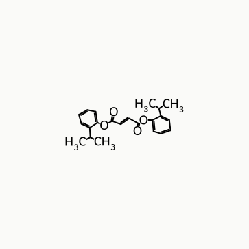 CC(C)c1ccccc1OC(=O)/C=C/C(=O)Oc1ccccc1C(C)C